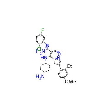 CCc1cc(OC)ccc1-c1cc2c(N[C@H]3CC[C@H](N)CC3)c(/C(N)=N/c3cc(F)ccc3Cl)cnn2c1